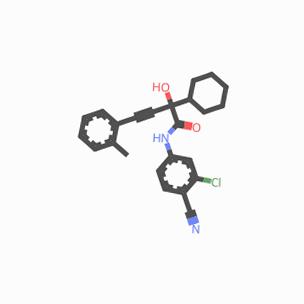 Cc1ccccc1C#CC(O)(C(=O)Nc1ccc(C#N)c(Cl)c1)C1CCCCC1